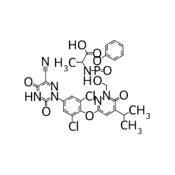 CC(NP(=O)(OCn1nc(Oc2c(Cl)cc(-n3nc(C#N)c(=O)[nH]c3=O)cc2Cl)cc(C(C)C)c1=O)Oc1ccccc1)C(=O)O